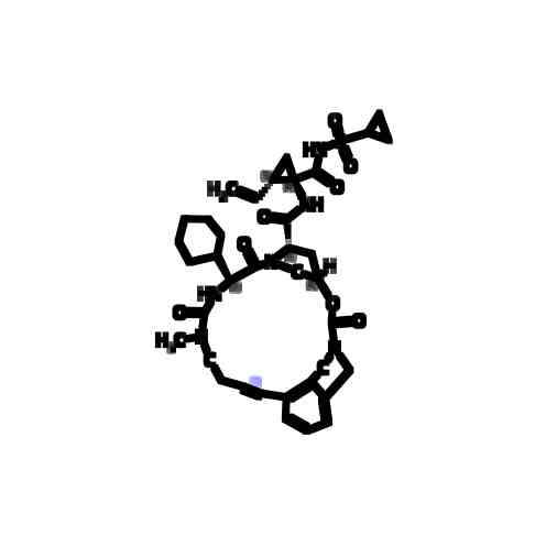 C=C[C@@H]1C[C@]1(NC(=O)[C@@H]1C[C@@H]2CN1C(=O)[C@H](C1CCCCC1)NC(=O)N(C)CC/C=C/c1cccc3c1CN(C3)C(=O)O2)C(=O)NS(=O)(=O)C1CC1